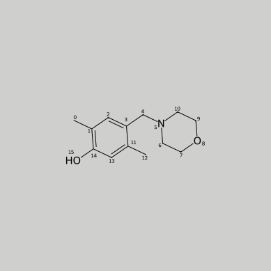 Cc1cc(CN2CCOCC2)c(C)cc1O